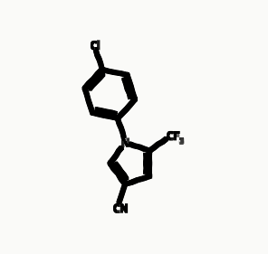 N#Cc1cc(C(F)(F)F)n(-c2ccc(Cl)cc2)c1